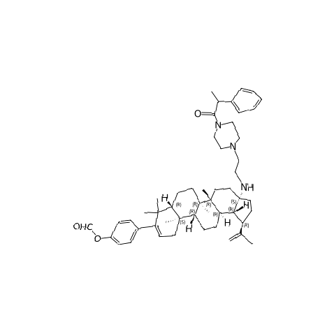 C=C(C)[C@@H]1CC[C@]2(NCCN3CCN(C(=O)C(C)c4ccccc4)CC3)CC[C@]3(C)[C@H](CC[C@@H]4[C@@]5(C)CC=C(c6ccc(OC=O)cc6)C(C)(C)[C@@H]5CC[C@]43C)[C@@H]12